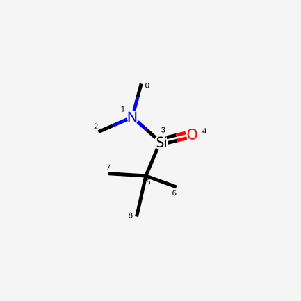 CN(C)[Si](=O)C(C)(C)C